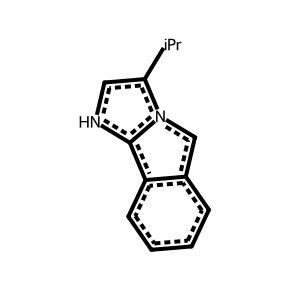 CC(C)c1c[nH]c2c3ccccc3cn12